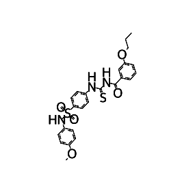 CCCOc1cccc(C(=O)NC(=S)Nc2ccc(S(=O)(=O)Nc3ccc(OC)cc3)cc2)c1